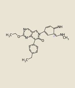 CCOc1ncc2cn(C3=C/C(=C/NC)C(=N)C=C3)c(=O)c(-c3ccc(CC)cc3)c2n1